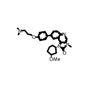 CO[C@H]1CCC[C@H](n2c(=O)n(C)c3cnc4ccc(-c5ccc(OCCCN(C)C)cc5)cc4c32)C1